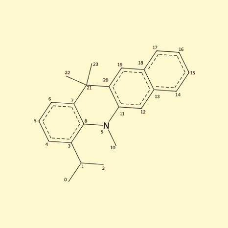 CC(C)c1cccc2c1N(C)c1cc3ccccc3cc1C2(C)C